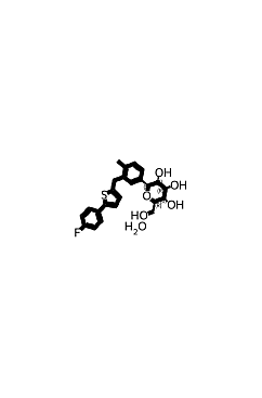 Cc1ccc([C@@H]2O[C@H](CO)[C@@H](O)[C@H](O)[C@H]2O)cc1Cc1ccc(-c2ccc(F)cc2)s1.O